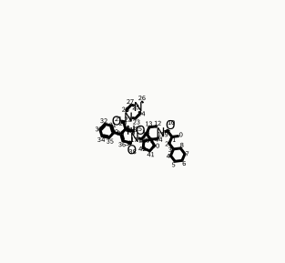 CC(CC1CCCCC1)C(=O)N1CC[C@@](O)(Cn2cc(C(=O)N3CCN(C)CC3)c(-c3ccccc3)cc2=O)C2(CCCC2)C1